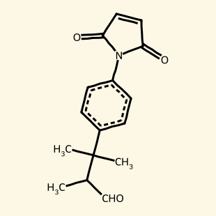 CC(C=O)C(C)(C)c1ccc(N2C(=O)C=CC2=O)cc1